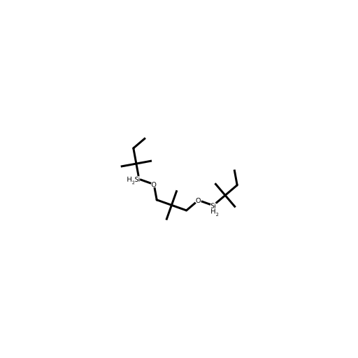 CCC(C)(C)[SiH2]OCC(C)(C)CO[SiH2]C(C)(C)CC